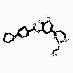 O=C(Nc1cc(C2=NN(CCO)NC=C2)c[nH]c1=O)c1ccc(N2CCCCC2)cc1